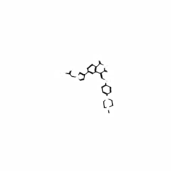 CN1CCN(c2ccc(NC=C3C(=O)NC(=O)c4ccc(-c5ccn(CC(N)=O)c5)cc43)cc2)CC1